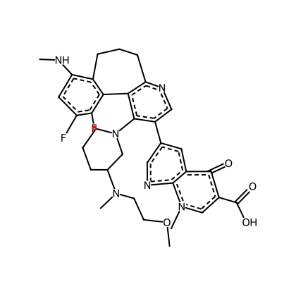 CNc1cc(F)c(F)c2c1CCCc1ncc(-c3cnc4c(c3)c(=O)c(C(=O)O)cn4C)c(N3CCCC(N(C)CCOC)C3)c1-2